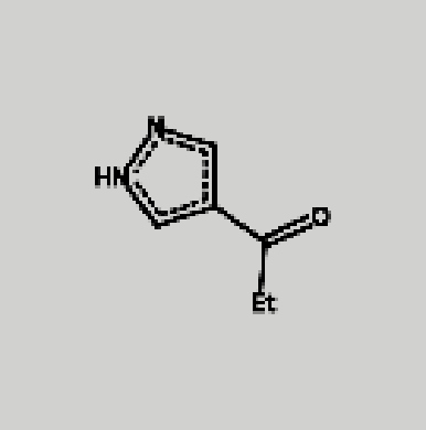 CCC(=O)c1cn[nH]c1